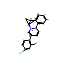 Cc1cc(F)ccc1C1=CN2C(C=C1)c1ccccc1C1CC12C